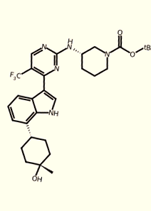 CC(C)(C)OC(=O)N1CCC[C@H](Nc2ncc(C(F)(F)F)c(-c3c[nH]c4c3cccc4[C@H]3CC[C@@](C)(O)CC3)n2)C1